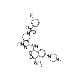 CN1CCN(c2ccc(C(=O)Nc3n[nH]c4c3CN(S(=O)(=O)c3cccc(F)c3)CC4)c(C(N)=O)c2)CC1